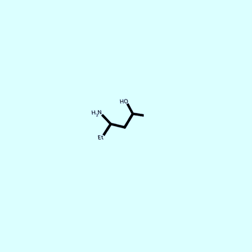 CCC(N)CC(C)O